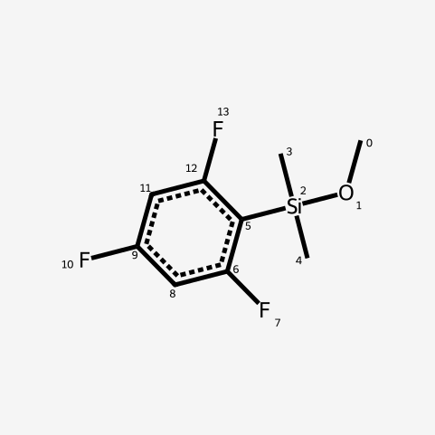 CO[Si](C)(C)c1c(F)cc(F)cc1F